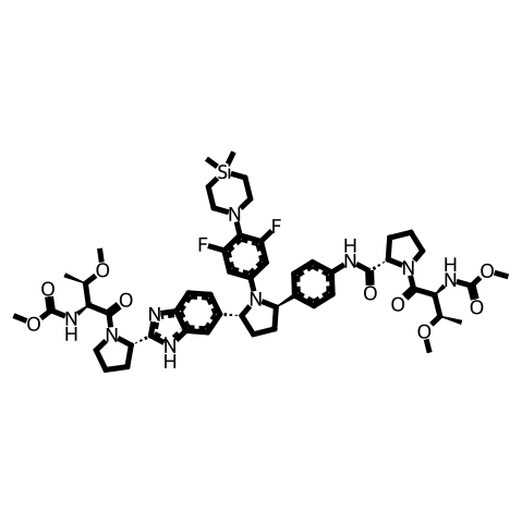 COC(=O)N[C@H](C(=O)N1CCC[C@H]1C(=O)Nc1ccc([C@H]2CC[C@H](c3ccc4nc([C@@H]5CCCN5C(=O)[C@@H](NC(=O)OC)[C@@H](C)OC)[nH]c4c3)N2c2cc(F)c(N3CC[Si](C)(C)CC3)c(F)c2)cc1)[C@@H](C)OC